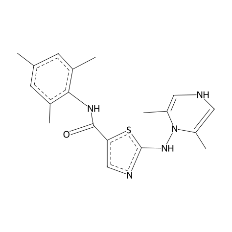 CC1=CNC=C(C)N1Nc1ncc(C(=O)Nc2c(C)cc(C)cc2C)s1